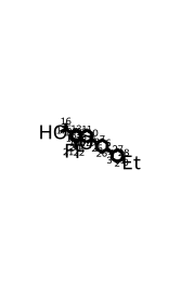 CCC1CCC(C2CCC(C3CCc4cc(C(C)O)cc(C(F)F)c4O3)CC2)CC1